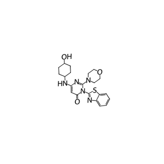 O=c1cc(NC2CCC(O)CC2)nc(N2CCOCC2)n1-c1nc2ccccc2s1